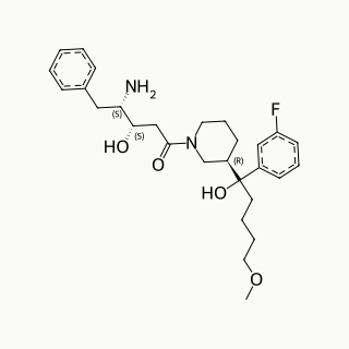 COCCCCC(O)(c1cccc(F)c1)[C@@H]1CCCN(C(=O)C[C@H](O)[C@@H](N)Cc2ccccc2)C1